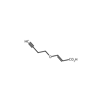 C#CCCOC=CC(=O)O